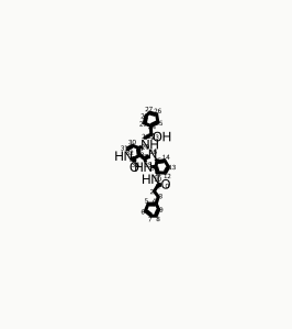 O=C(CCc1ccccc1)Nc1cccc2nc(-c3c(NCC(O)c4ccccc4)cc[nH]c3=O)[nH]c12